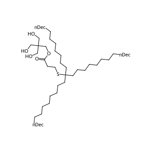 CCCCCCCCCCCCCCCCCCC(CCCCCCCCCCCCCCCCC)(CCCCCCCCCCCCCCCCCC)SCCC(=O)OCC(CO)(CO)CO